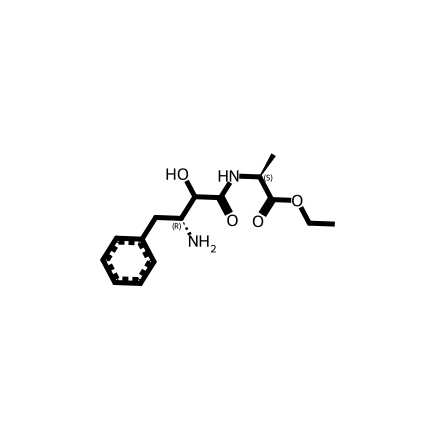 CCOC(=O)[C@H](C)NC(=O)C(O)[C@H](N)Cc1ccccc1